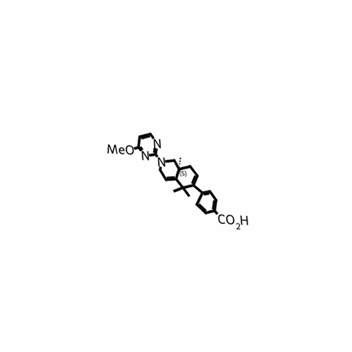 COc1ccnc(N2CC=C3C(C)(C)C(c4ccc(C(=O)O)cc4)=CC[C@]3(C)C2)n1